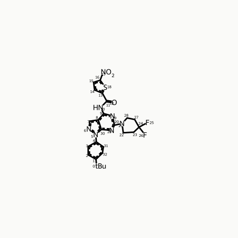 CC(C)(C)c1ccc(-n2ncc3c(NC(=O)c4ccc([N+](=O)[O-])s4)nc(N4CCC(F)(F)CC4)nc32)cc1